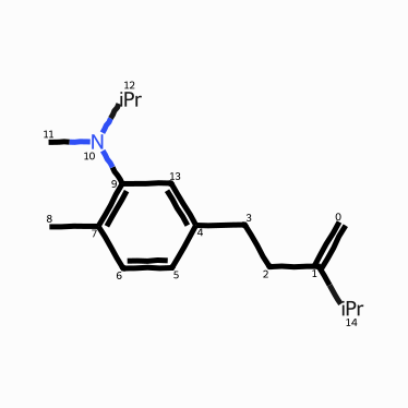 C=C(CCc1ccc(C)c(N(C)C(C)C)c1)C(C)C